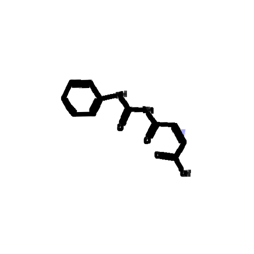 O=C(O)/C=C\C(=O)NC(=O)Nc1ccccc1